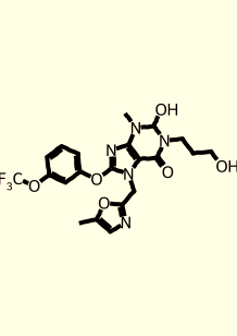 Cc1cnc(Cn2c(Oc3cccc(OC(F)(F)F)c3)nc3c2C(=O)N(CCCO)C(O)N3C)o1